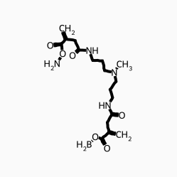 BOC(=O)C(=C)CC(=O)NCCCN(C)CCCNC(=O)CC(=C)C(=O)ON